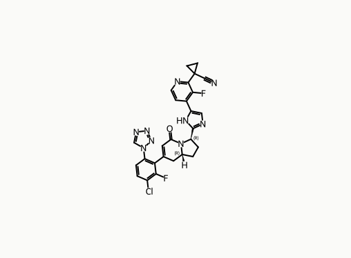 N#CC1(c2nccc(-c3cnc([C@H]4CC[C@@H]5CC(c6c(-n7cnnn7)ccc(Cl)c6F)=CC(=O)N54)[nH]3)c2F)CC1